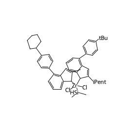 CCCC(C)C1=Cc2c(-c3ccc(C(C)(C)C)cc3)cccc2[CH]1[Zr]([Cl])([Cl])([CH]1C(C)=Cc2c(-c3ccc(C4CCCCC4)cc3)cccc21)[SiH](C)C